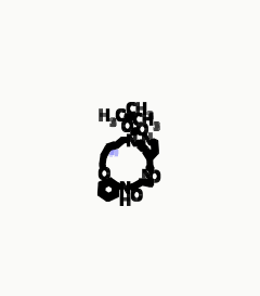 CC(C)(C)OC(=O)N1C/C=C/CCOc2ccccc2NC(=O)c2coc(n2)-c2ccnc1c2